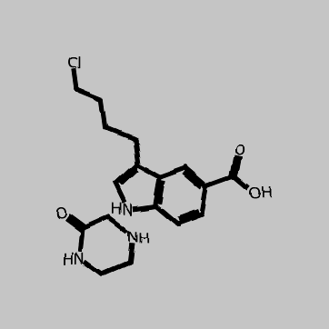 O=C(O)c1ccc2[nH]cc(CCCCCl)c2c1.O=C1CNCCN1